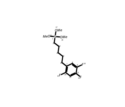 CO[Si](CCCCCc1cc(F)c(F)cc1F)(OC)OC